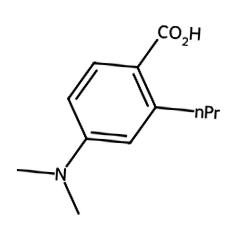 CCCc1cc(N(C)C)ccc1C(=O)O